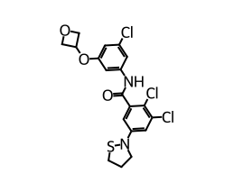 O=C(Nc1cc(Cl)cc(OC2COC2)c1)c1cc(N2CCCS2)cc(Cl)c1Cl